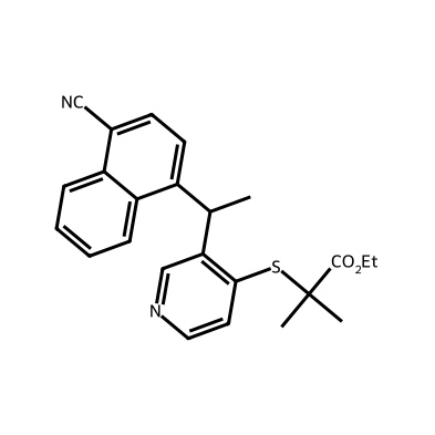 CCOC(=O)C(C)(C)Sc1ccncc1C(C)c1ccc(C#N)c2ccccc12